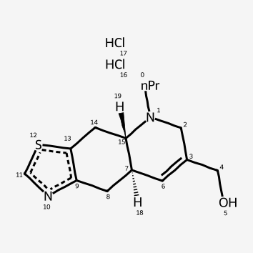 CCCN1CC(CO)=C[C@H]2Cc3ncsc3C[C@@H]21.Cl.Cl